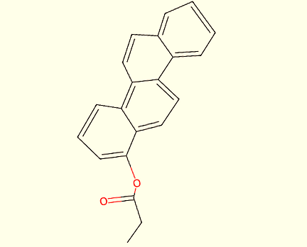 CCC(=O)Oc1cccc2c1ccc1c3ccccc3ccc21